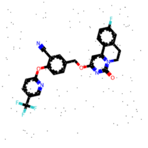 N#Cc1cc(COc2cc3n(c(=O)n2)CCc2cc(F)ccc2-3)ccc1Oc1ccc(C(F)(F)F)cn1